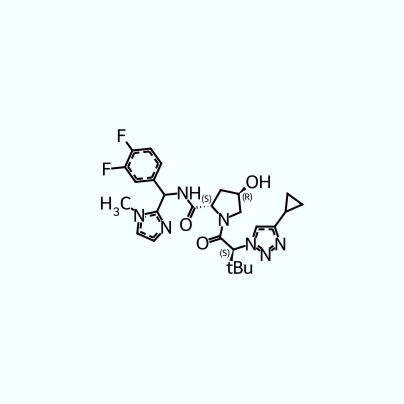 Cn1ccnc1C(NC(=O)[C@@H]1C[C@@H](O)CN1C(=O)[C@@H](n1cc(C2CC2)nn1)C(C)(C)C)c1ccc(F)c(F)c1